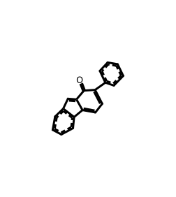 O=C1C2=Cc3ccccc3C2=CC=C1c1ccccc1